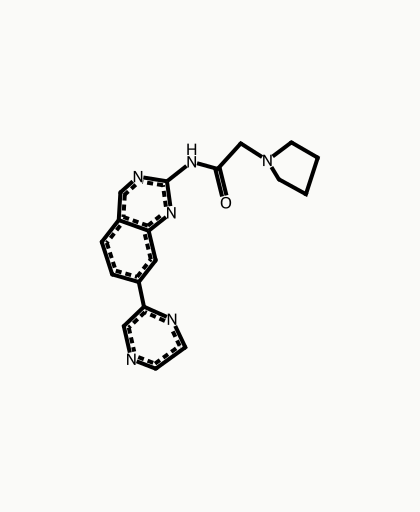 O=C(CN1CCCC1)Nc1ncc2ccc(-c3cnccn3)cc2n1